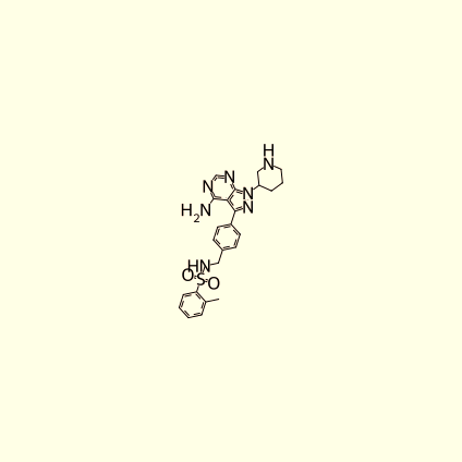 Cc1ccccc1S(=O)(=O)NCc1ccc(-c2nn(C3CCCNC3)c3ncnc(N)c23)cc1